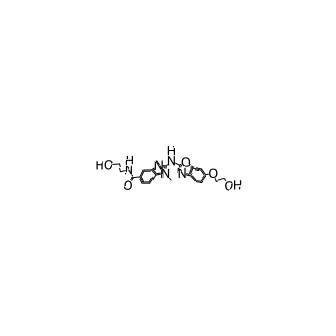 Cn1c(Nc2nc3ccc(OCCO)cc3o2)nc2cc(C(=O)NCCO)ccc21